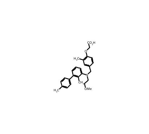 COCCN(Cc1ccc(OCC(=O)O)c(C)c1)c1cccc(-c2ccc(C)cc2)c1C